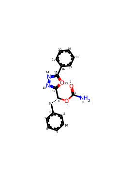 NC(=O)O[C@H](Cc1ccccc1)c1nnc(-c2ccccc2)o1